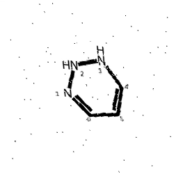 [C]1=NNNC=C1